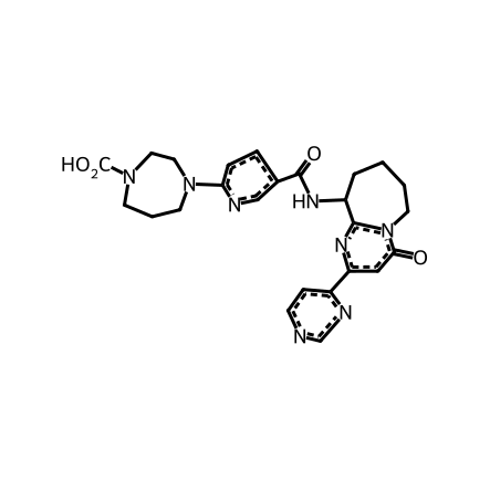 O=C(NC1CCCCn2c1nc(-c1ccncn1)cc2=O)c1ccc(N2CCCN(C(=O)O)CC2)nc1